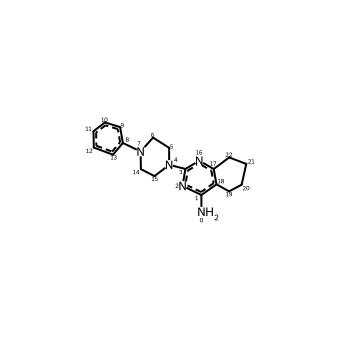 Nc1nc(N2CCN(c3ccccc3)CC2)nc2c1CCCC2